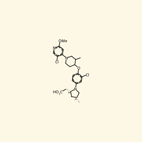 COc1cc(N2CCC(Oc3ccc(N4C[C@H](C)C[C@@H]4CC(=O)O)cc3Cl)C(C)C2)c(Cl)cn1